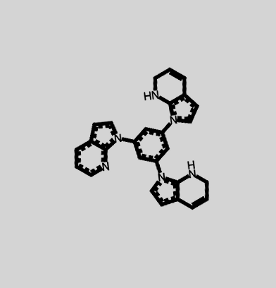 C1=Cc2ccn(-c3cc(-n4ccc5c4NCC=C5)cc(-n4ccc5cccnc54)c3)c2NC1